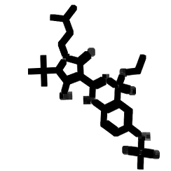 CCOP1(=O)N=C(C2=C(O)C(C(C)(C)C)N(CCC(C)C)C2=O)Nc2ccc(NS(C)(=O)=O)cc21